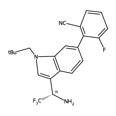 CC(C)(C)Cn1cc([C@H](N)C(F)(F)F)c2ccc(-c3c(F)cccc3C#N)cc21